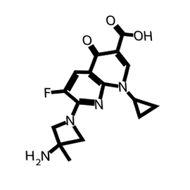 CC1(N)CN(c2nc3c(cc2F)c(=O)c(C(=O)O)cn3C2CC2)C1